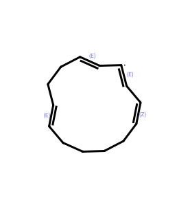 [C]1=C/C=C\CCCC/C=C/CC/C=C/1